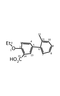 CCOc1ccc(-c2ccccc2C)cc1C(=O)O